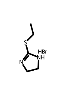 Br.CCSC1=NCCN1